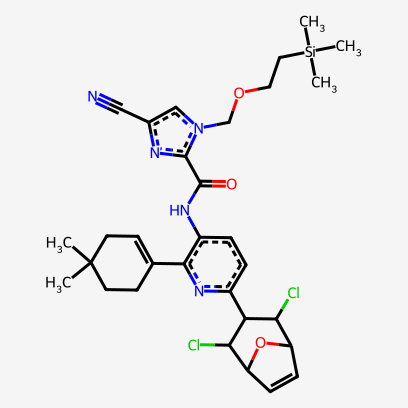 CC1(C)CC=C(c2nc(C3C(Cl)C4C=CC(O4)C3Cl)ccc2NC(=O)c2nc(C#N)cn2COCC[Si](C)(C)C)CC1